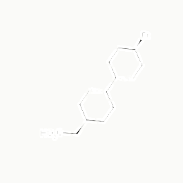 CC[C@H]1CC[C@H]([C@H]2CC[C@H](CC(=O)O)CC2)CC1